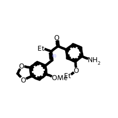 CCOc1cc(C(=O)/C(=C/c2cc3c(cc2OC)OCO3)CC)ccc1N